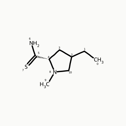 CCC1C[C@@H](C(N)=S)N(C)C1